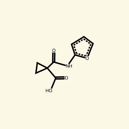 O=C(O)C1(C(=O)Nc2ccco2)CC1